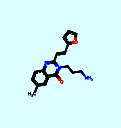 Cc1ccc2nc(C=Cc3ccco3)n(CCCN)c(=O)c2c1